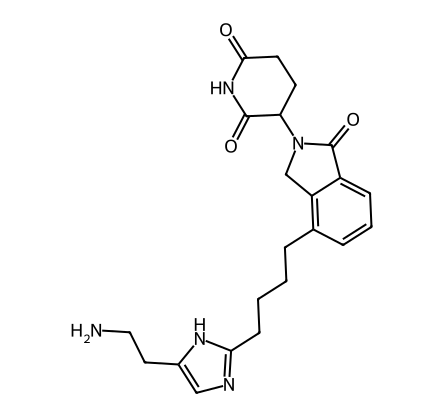 NCCc1cnc(CCCCc2cccc3c2CN(C2CCC(=O)NC2=O)C3=O)[nH]1